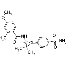 COc1ccc(C(=O)N[C@@H]2[C@@H](c3ccc(S(N)(=O)=O)cc3)C2(C)C)c(C)c1